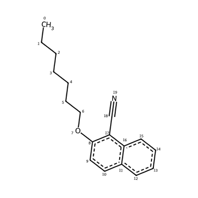 CCCCCCCOc1ccc2ccccc2c1C#N